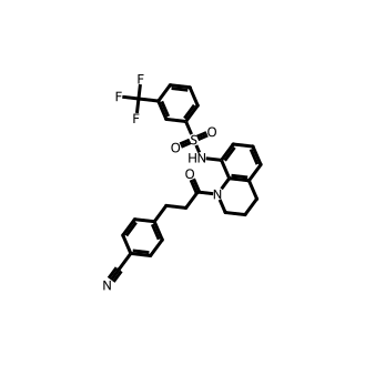 N#Cc1ccc(CCC(=O)N2CCCc3cccc(NS(=O)(=O)c4cccc(C(F)(F)F)c4)c32)cc1